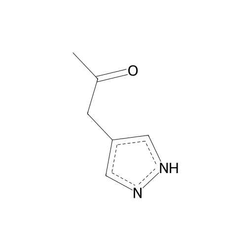 CC(=O)Cc1cn[nH]c1